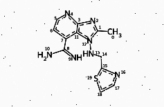 Cc1nc2nccc(C(=N)N)c2n1NCc1nccs1